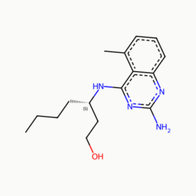 CCCC[C@@H](CCO)Nc1nc(N)nc2cccc(C)c12